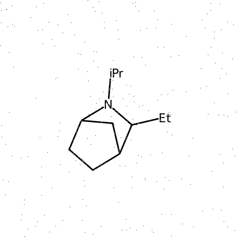 CCC1C2CCC(C2)N1C(C)C